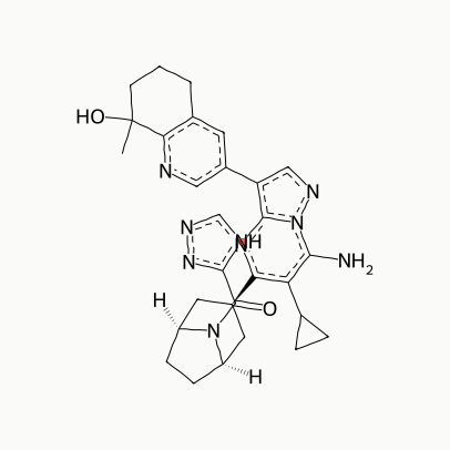 CC1(O)CCCc2cc(-c3cnn4c(N)c(C5CC5)c([C@H]5C[C@H]6CC[C@@H](C5)N6C(=O)c5nnc[nH]5)nc34)cnc21